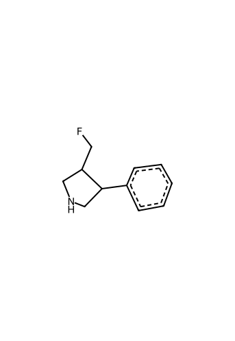 FCC1CNCC1c1ccccc1